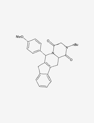 CCCCN1CC(=O)N2C(CC3=C(Cc4ccccc43)C2c2ccc(OC)cc2)C1=O